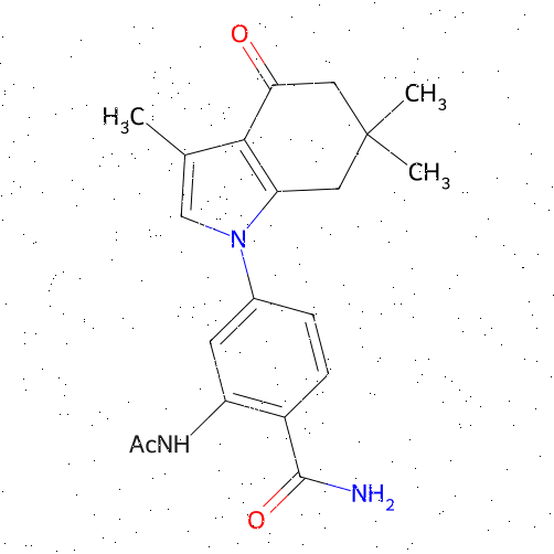 [CH2]C(=O)Nc1cc(-n2cc(C)c3c2CC(C)(C)CC3=O)ccc1C(N)=O